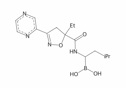 CCC1(C(=O)NC(CC(C)C)B(O)O)CC(c2cnccn2)=NO1